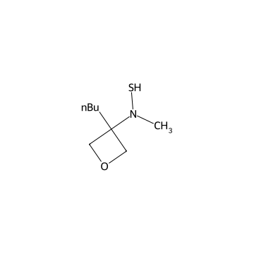 CCCCC1(N(C)S)COC1